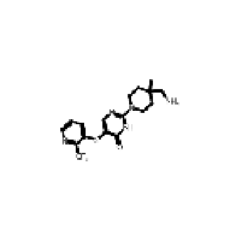 CC1(CN)CCN(c2ncc(Sc3cccnc3C(F)(F)F)c(=O)[nH]2)CC1